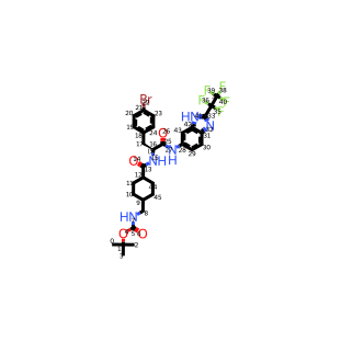 CC(C)(C)OC(=O)NCC1CCC(C(=O)N[C@@H](Cc2ccc(Br)cc2)C(=O)Nc2ccc3nc(C(F)(F)C(F)(F)F)[nH]c3c2)CC1